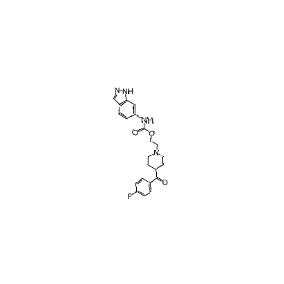 O=C(Nc1ccc2cn[nH]c2c1)OCCN1CCC(C(=O)c2ccc(F)cc2)CC1